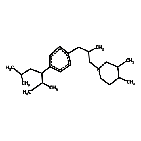 CC(C)CC(c1ccc(CC(C)CN2CCC(C)C(C)C2)cc1)C(C)C